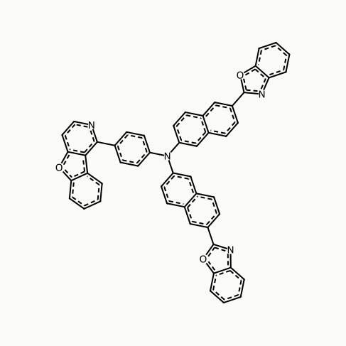 c1ccc2oc(-c3ccc4cc(N(c5ccc(-c6nccc7oc8ccccc8c67)cc5)c5ccc6cc(-c7nc8ccccc8o7)ccc6c5)ccc4c3)nc2c1